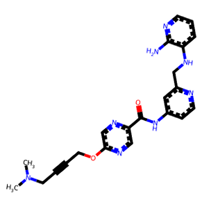 CN(C)CC#CCOc1cnc(C(=O)Nc2ccnc(CNc3cccnc3N)c2)cn1